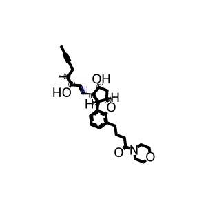 CC#CC[C@H](C)[C@@H](O)/C=C/[C@@H]1[C@H]2c3cccc(CCCC(=O)N4CCOCC4)c3O[C@H]2C[C@H]1O